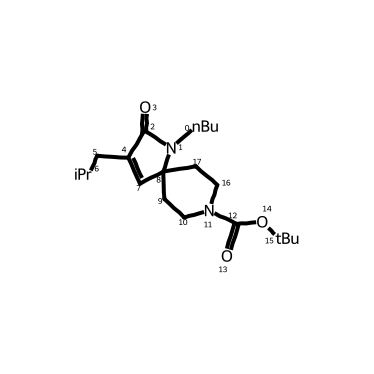 CCCCN1C(=O)C(CC(C)C)=CC12CCN(C(=O)OC(C)(C)C)CC2